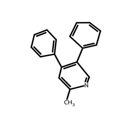 Cc1cc(-c2ccccc2)c(-c2ccccc2)cn1